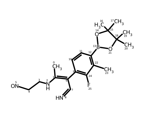 C/C(NCCN=O)=C(/C=N)c1ccc(B2OC(C)(C)C(C)(C)O2)c(C)c1F